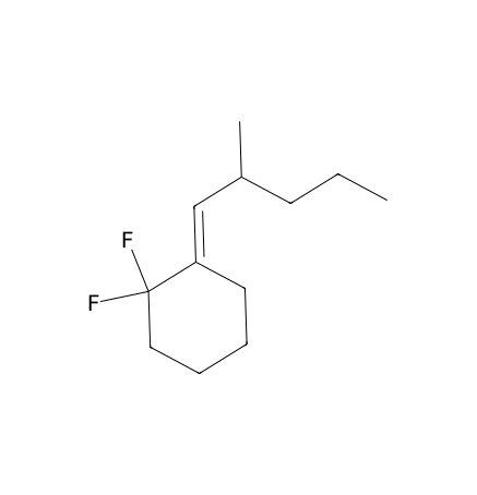 CCCC(C)/C=C1\CCCCC1(F)F